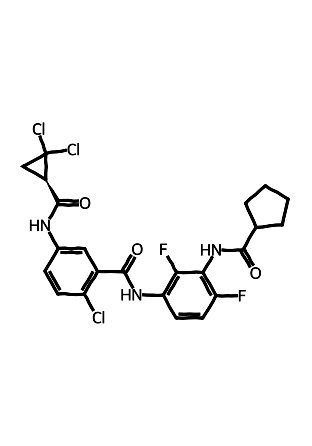 O=C(Nc1ccc(F)c(NC(=O)C2CCCC2)c1F)c1cc(NC(=O)[C@H]2CC2(Cl)Cl)ccc1Cl